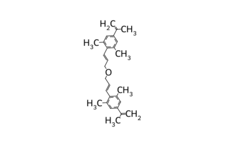 C=C(C)c1cc(C)c(C=CCOCC=Cc2c(C)cc(C(=C)C)cc2C)c(C)c1